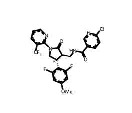 COc1cc(F)c([C@@H]2CN(c3ncccc3C(F)(F)F)C(=O)C2CNC(=O)c2ccc(Cl)nc2)c(F)c1